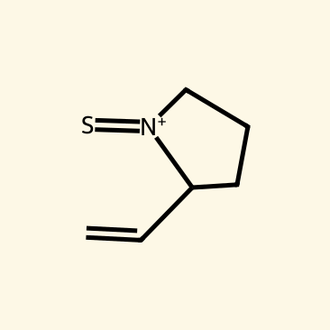 C=CC1CCC[N+]1=S